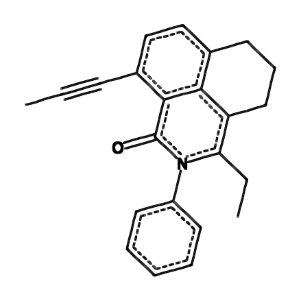 CC#Cc1ccc2c3c(c(CC)n(-c4ccccc4)c(=O)c13)CCC2